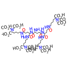 NC(CCC(=O)NC(CCC(=O)NCCCCC(C(=O)O)N(CC(=O)O)CC(=O)O)C(=O)NCCCCC(C(=O)O)N(CC(=O)O)CC(=O)O)C(=O)NC(CCC(=O)NCCCCC(C(=O)O)N(CC(=O)O)CC(=O)O)C(=O)NCCCCC(C(=O)O)N(CC(=O)O)CC(=O)O